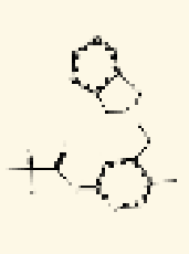 CCC(C)(C)C(=O)Nc1cc(CN2Cc3ccccc3C2)c(C)cn1